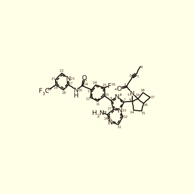 CC#CC(=O)N1C2(c3nc(-c4ccc(C(=O)Nc5cc(C(F)(F)F)ccn5)cc4F)c4c(N)nccn34)CCC3CCC312